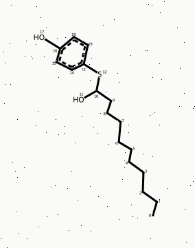 CCCCCCCCCCC(O)Sc1ccc(O)cc1